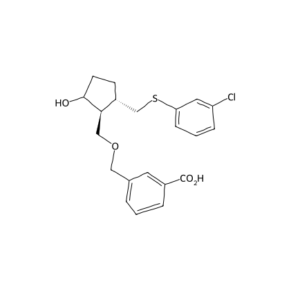 O=C(O)c1cccc(COC[C@H]2C(O)CC[C@@H]2CSc2cccc(Cl)c2)c1